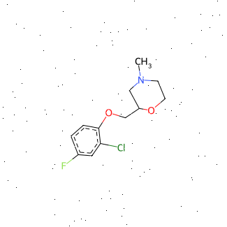 CN1CCOC(COc2ccc(F)cc2Cl)C1